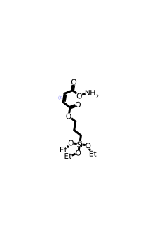 CCO[Si](CCCOC(=O)/C=C\C(=O)ON)(OCC)OCC